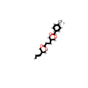 CC=CC1COC(CCC2COC(c3ccc(C(F)(F)F)cc3)OC2)OC1